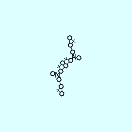 CC1(C)c2ccccc2-c2ccc(-c3ccc(N(c4ccccc4)c4ccc5c(c4)C(C)(C)c4ccc6c7c(ccc-5c47)-c4ccc(N(c5ccccc5)c5ccc(-c7ccc8c(c7)C(C)(C)c7ccccc7-8)cc5)cc4C6(C)C)cc3)cc21